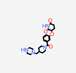 O=C1CCC(Oc2cccc(C(=O)N3CCC(CN4CCNCC4)CC3)c2)C(=O)N1